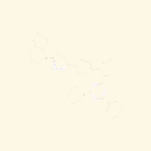 c1ccc(-c2nc(-c3ccccc3)nc(-c3cccc4sc5cc(-c6ccc(-c7cccc8ccccc78)nn6)ccc5c34)n2)cc1